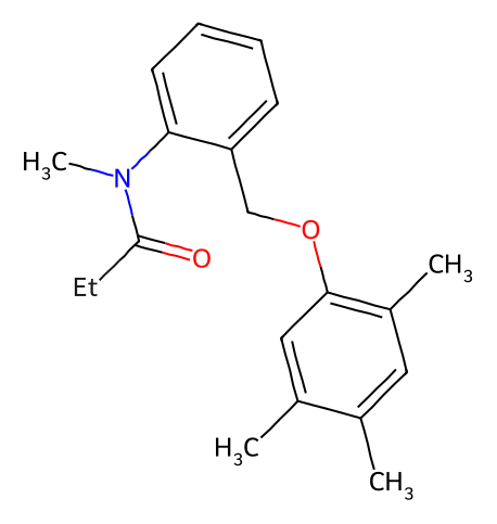 CCC(=O)N(C)c1ccccc1COc1cc(C)c(C)cc1C